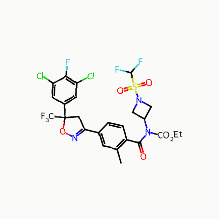 CCOC(=O)N(C(=O)c1ccc(C2=NO[C@@](c3cc(Cl)c(F)c(Cl)c3)(C(F)(F)F)C2)cc1C)C1CN(S(=O)(=O)C(F)F)C1